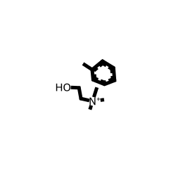 C[N+](C)(C)CCO.Cc1ccccc1